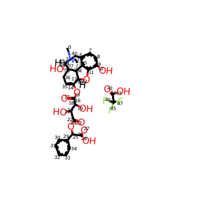 CN1CC[C@]23c4c5ccc(O)c4O[C@H]2C(OC(=O)C(O)C(O)C(=O)OC(C(=O)O)c2ccccc2)=CC[C@@]3(O)[C@H]1C5.O=C(O)C(F)(F)F